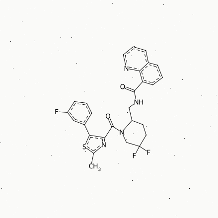 Cc1nc(C(=O)N2CC(F)(F)CCC2CNC(=O)c2cccc3cccnc23)c(-c2cccc(F)c2)s1